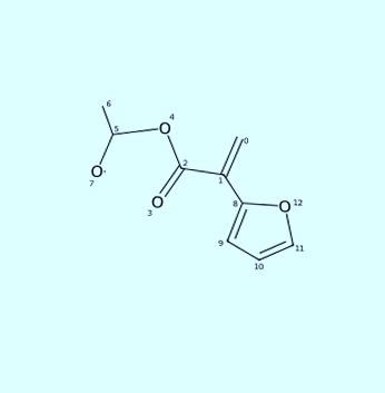 C=C(C(=O)OC(C)[O])c1ccco1